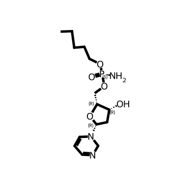 CCCCCO[P@](N)(=O)OC[C@H]1O[C@@H](N2C=CC=NC2)C[C@H]1O